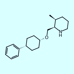 C[C@H]1CCCN[C@H]1CO[C@H]1CC[C@@H](c2ccccc2)CC1